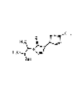 Cc1ccc(-n2cnn(C(C)C(C)O)c2=O)cc1